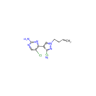 C=CCCn1cc(-c2nc(N)ncc2Cl)c(Cl)n1.[N]